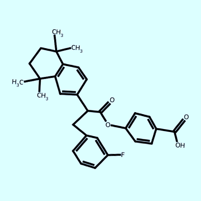 CC1(C)CCC(C)(C)c2cc(C(Cc3cccc(F)c3)C(=O)Oc3ccc(C(=O)O)cc3)ccc21